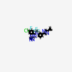 Fc1cc2c(N(c3cccc(-c4cnc(C5CC5)cn4)c3)C(F)(F)F)nc3nncn3c2cc1Cl